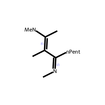 CCCCCC(=N/C)/C(C)=C(\C)NC